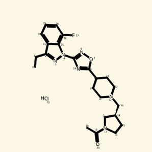 CCc1nn(-c2noc(C3CCN(C[C@H]4CCN(C(C)=O)C4)CC3)n2)c2c(F)cccc12.Cl